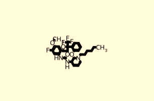 CCCCCCN1CC=CC(NC(=O)Nc2ccc(OC)c(F)c2)C1Oc1ccccc1C1(C(F)(F)F)CCO1